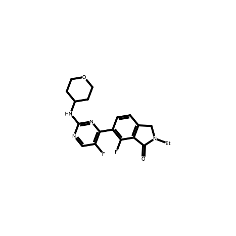 CCN1Cc2ccc(-c3nc(NC4CCOCC4)ncc3F)c(F)c2C1=O